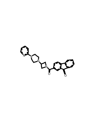 O=C1c2ccccc2-c2ccc(C(=O)N3CC(N4CCN(c5ccccn5)CC4)C3)cc21